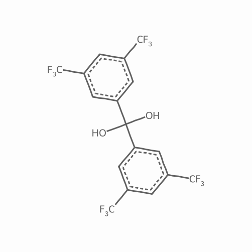 OC(O)(c1cc(C(F)(F)F)cc(C(F)(F)F)c1)c1cc(C(F)(F)F)cc(C(F)(F)F)c1